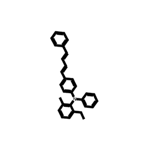 CCc1cccc(C)c1N(c1ccccc1)c1ccc(/C=C/C=C/c2ccccc2)cc1